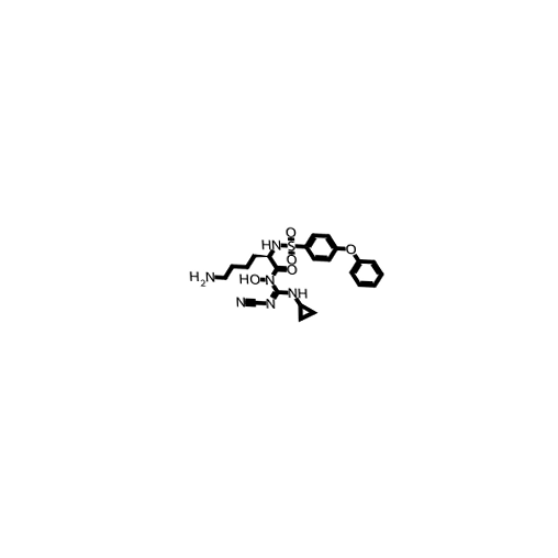 N#C/N=C(/NC1CC1)N(O)C(=O)[C@@H](CCCCN)NS(=O)(=O)c1ccc(Oc2ccccc2)cc1